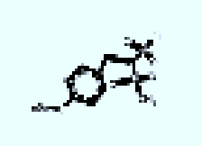 CCCCOc1ccc(C=C(S(C)(=O)=O)S(C)(=O)=O)cc1